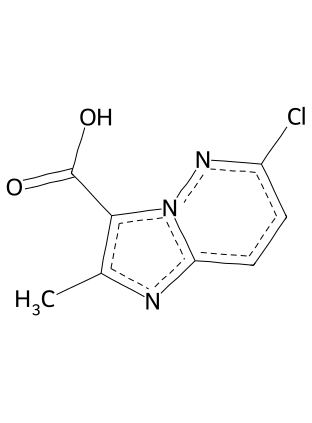 Cc1nc2ccc(Cl)nn2c1C(=O)O